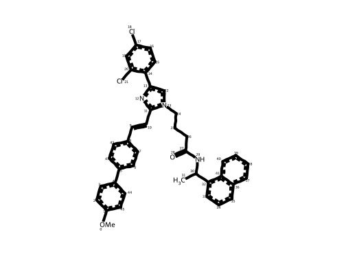 COc1ccc(-c2ccc(C=Cc3nc(-c4ccc(Cl)cc4Cl)cn3CCCC(=O)NC(C)c3cccc4ccccc34)cc2)cc1